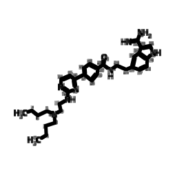 CCCCN(CCCC)CCNc1nccc(-c2ccc(C(=O)NCCc3ccc4[nH]cc(C(=N)N)c4c3)cc2)n1